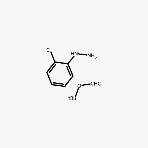 CC(C)(C)OC=O.NNc1ccccc1Cl